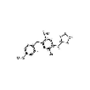 COc1ccc(Cc2cc(Br)c(OC3CCOC3)cc2NC(C)=O)cc1